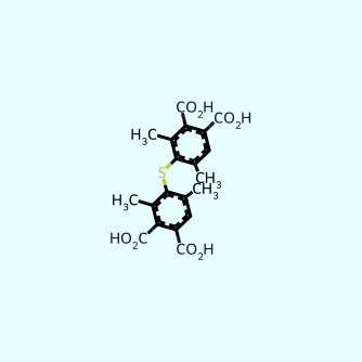 Cc1cc(C(=O)O)c(C(=O)O)c(C)c1Sc1c(C)cc(C(=O)O)c(C(=O)O)c1C